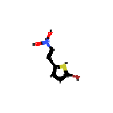 O=[N+]([O-])C=Cc1ccc(Br)s1